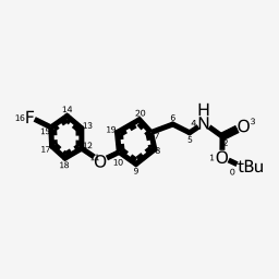 CC(C)(C)OC(=O)NCCc1ccc(Oc2ccc(F)cc2)cc1